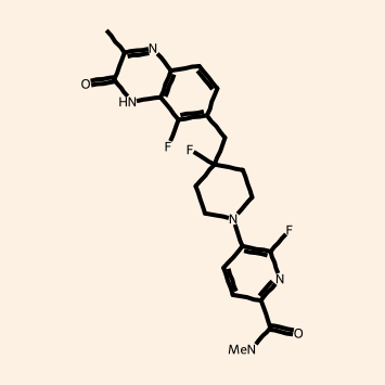 CNC(=O)c1ccc(N2CCC(F)(Cc3ccc4nc(C)c(=O)[nH]c4c3F)CC2)c(F)n1